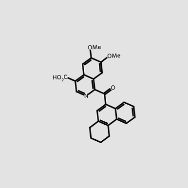 COc1cc2c(C(=O)O)cnc(C(=O)c3cc4c(c5ccccc35)CCCC4)c2cc1OC